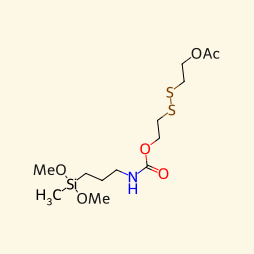 CO[Si](C)(CCCNC(=O)OCCSSCCOC(C)=O)OC